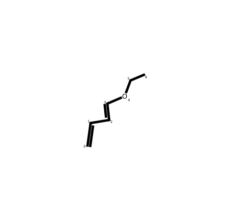 C=CC=COCC